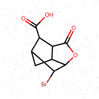 O=C(O)C1C2CC3C(OC(=O)C31)C2Br